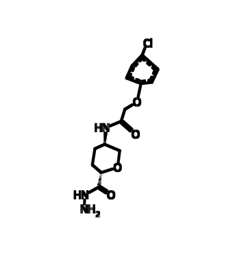 NNC(=O)[C@@H]1CC[C@@H](NC(=O)COc2ccc(Cl)cc2)CO1